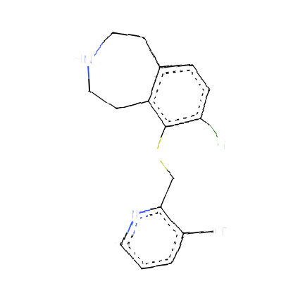 FC(F)(F)c1cccnc1CSc1c(Cl)ccc2c1CCNCC2